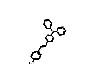 Oc1ccc(C=Cc2ccc(N(c3ccccc3)c3ccccc3)cc2)cc1